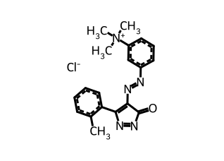 Cc1ccccc1C1=C(/N=N/c2cccc([N+](C)(C)C)c2)C(=O)N=N1.[Cl-]